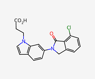 O=C(O)CCn1ccc2ccc(N3Cc4cccc(Cl)c4C3=O)cc21